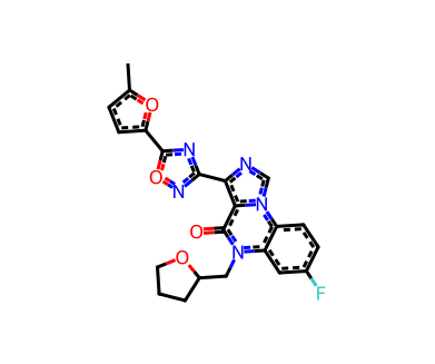 Cc1ccc(-c2nc(-c3ncn4c3c(=O)n(CC3CCCO3)c3cc(F)ccc34)no2)o1